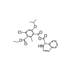 CCOC(=O)c1c(Cl)cc(OC(C)C)c(C(=O)OC(=O)C2NC=Cc3ccccc32)c1C